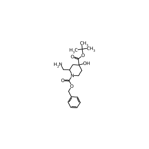 CC(C)(C)OC(=O)C1(O)CCN(C(=O)OCc2ccccc2)C(CN)C1